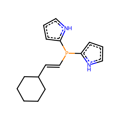 C(=CP(c1ccc[nH]1)c1ccc[nH]1)C1CCCCC1